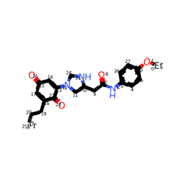 CCOc1ccc(NC(=O)CC2CN(C3=CC(=O)C=C(CCC(C)C)C3=O)CN2)cc1